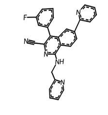 N#Cc1nc(NCc2ccccn2)c2ccc(-c3ccccn3)cc2c1-c1cccc(F)c1